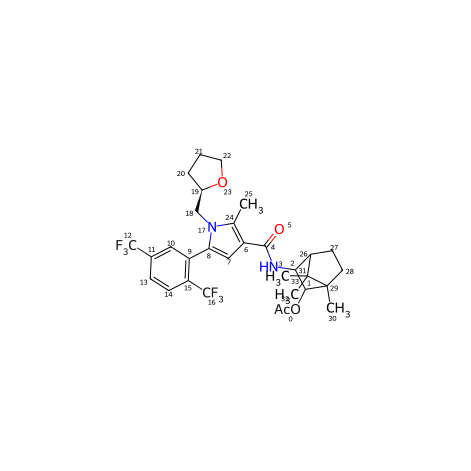 CC(=O)OC1C(NC(=O)c2cc(-c3cc(C(F)(F)F)ccc3C(F)(F)F)n(C[C@H]3CCCO3)c2C)C2CCC1(C)C2(C)C